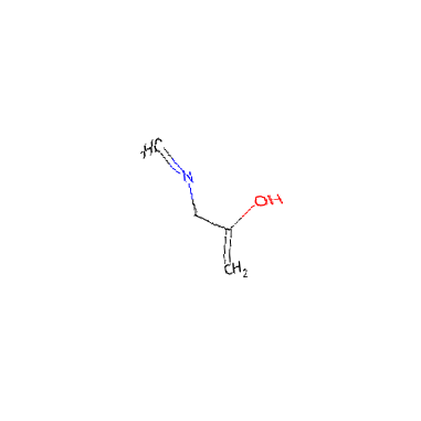 [CH]=NCC(=C)O